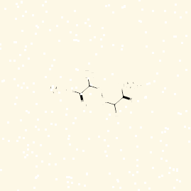 CCC(SSC(CC)C(=O)OC)C(=O)OC